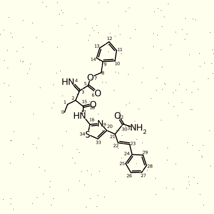 CCC(C(=N)C(=O)OCc1ccccc1)C(=O)Nc1nc(C(C=Cc2ccccc2)C(N)=O)cs1